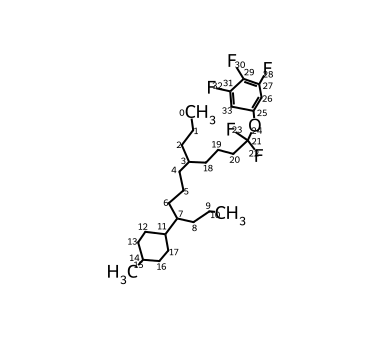 CCCC(CCCC(CCC)C1CCC(C)CC1)CCCC(F)(F)Oc1cc(F)c(F)c(F)c1